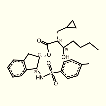 CCCC[C@@H](O)[C@@H](CC1CC1)C(=O)O[C@H]1Cc2ccccc2[C@H]1NS(=O)(=O)c1ccc(C)cc1